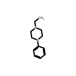 CCN1CCN(c2cc[c]cc2)CC1